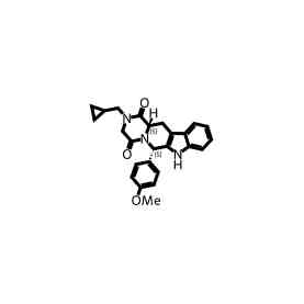 COc1ccc([C@H]2c3[nH]c4ccccc4c3C[C@H]3C(=O)N(CC4CC4)CC(=O)N23)cc1